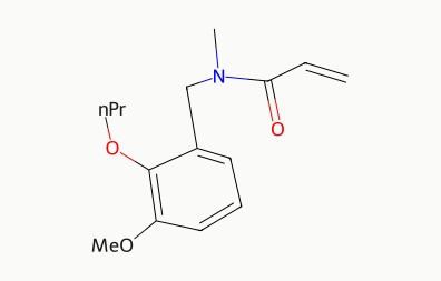 C=CC(=O)N(C)Cc1cccc(OC)c1OCCC